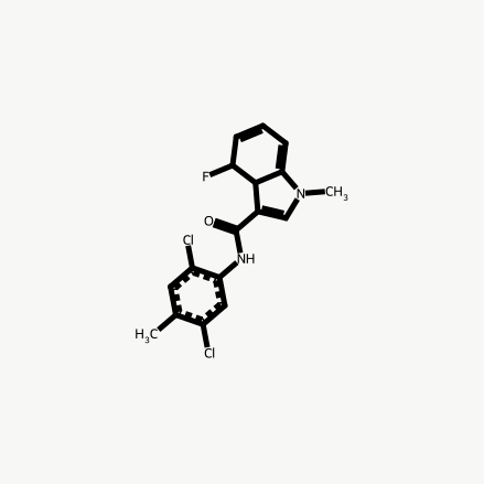 Cc1cc(Cl)c(NC(=O)C2=CN(C)C3=CC=CC(F)C23)cc1Cl